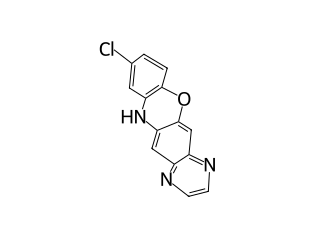 Clc1ccc2c(c1)Nc1cc3nccnc3cc1O2